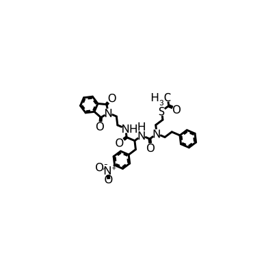 CC(=O)SCCN(CCc1ccccc1)C(=O)NC(Cc1ccc([N+](=O)[O-])cc1)C(=O)NCCN1C(=O)c2ccccc2C1=O